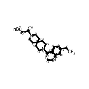 CCCCOC(=O)N1CCC2(CC1)CCN(c1ncnc3cc(CC(F)(F)F)ccc13)CC2